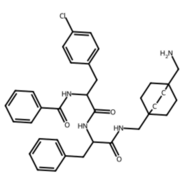 NCC12CCC(CNC(=O)C(Cc3ccccc3)NC(=O)C(Cc3ccc(Cl)cc3)NC(=O)c3ccccc3)(CC1)CC2